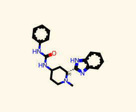 CN1CCC(NC(=O)Nc2ccccc2)C[C@@H]1c1nc2ccccc2[nH]1